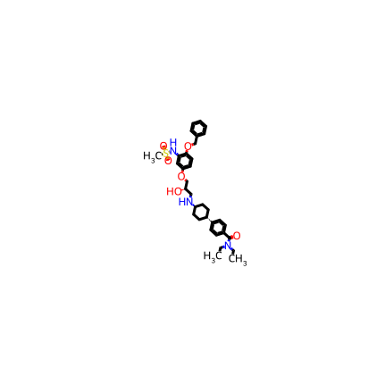 CCN(CC)C(=O)c1ccc([C@H]2CC[C@H](NC[C@H](O)COc3ccc(OCc4ccccc4)c(NS(C)(=O)=O)c3)CC2)cc1